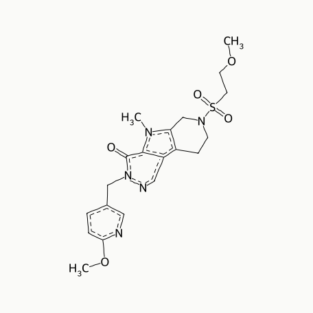 COCCS(=O)(=O)N1CCc2c(n(C)c3c(=O)n(Cc4ccc(OC)nc4)ncc23)C1